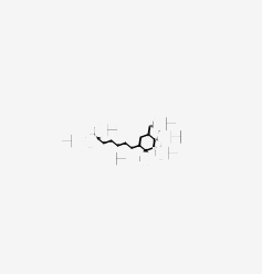 C=C(C)CCCCCC1CC(CC)C(C)C(C)[C@H]1C